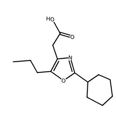 CCCc1oc(C2CCCCC2)nc1CC(=O)O